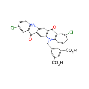 O=C(O)c1cc(Cn2c3c(c(=O)c4cc5[nH]c6ccc(Cl)cc6c(=O)c5cc42)C=C(Cl)CC=C3)cc(C(=O)O)c1